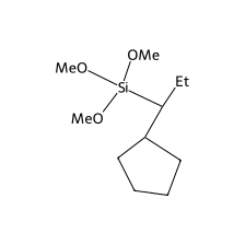 CCC(C1CCCC1)[Si](OC)(OC)OC